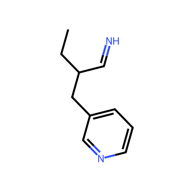 CCC(C=N)Cc1cccnc1